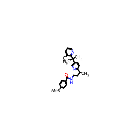 CSc1ccc(C(=O)NCCC(C)c2ccc(C(C)(C)c3ncccc3C)cn2)cc1